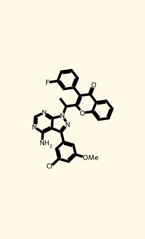 COc1cc(Cl)cc(-c2nn(C(C)c3oc4ccccc4c(=O)c3-c3cccc(F)c3)c3ncnc(N)c23)c1